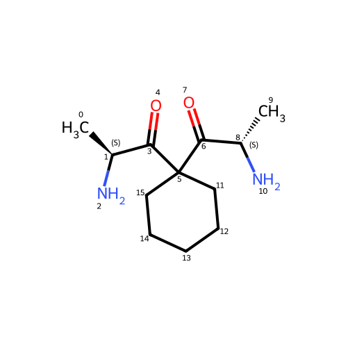 C[C@H](N)C(=O)C1(C(=O)[C@H](C)N)CCCCC1